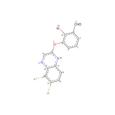 O=Cc1cccc(Oc2cnc3c(F)c(F)ccc3n2)c1Br